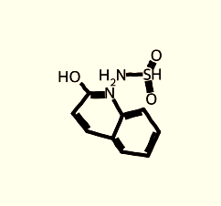 N[SH](=O)=O.Oc1ccc2ccccc2n1